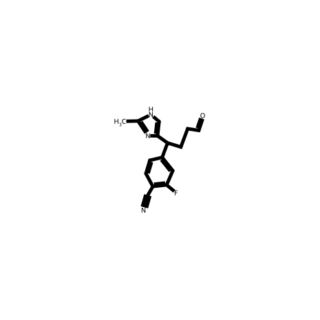 Cc1nc(C(CCC=O)c2ccc(C#N)c(F)c2)c[nH]1